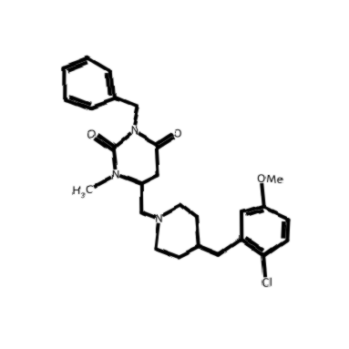 COc1ccc(Cl)c(CC2CCN(CC3CC(=O)N(Cc4ccccc4)C(=O)N3C)CC2)c1